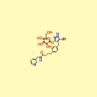 CC(C)c1[nH]nc(O[C@@H]2O[C@H](CO)[C@@H](O)[C@H](O)[C@H]2O)c1Cc1ccc(CCCC(=O)NCc2cccnc2)cc1